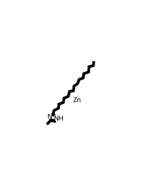 CCCCCCCCCCCCCCCCCc1nc(C)c[nH]1.[Zn]